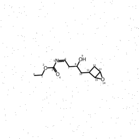 CCOC(=O)/N=C\CC(O)CC1CC2OC12